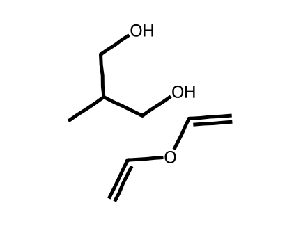 C=COC=C.CC(CO)CO